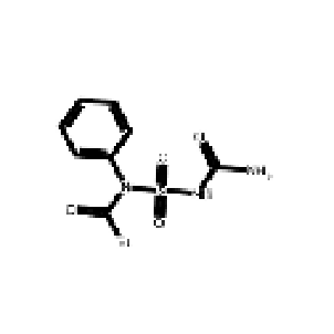 CCC(=O)N(c1ccccc1)S(=O)(=O)NC(N)=O